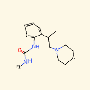 CCNC(=O)Nc1ccccc1C(C)CN1CC[CH]CC1